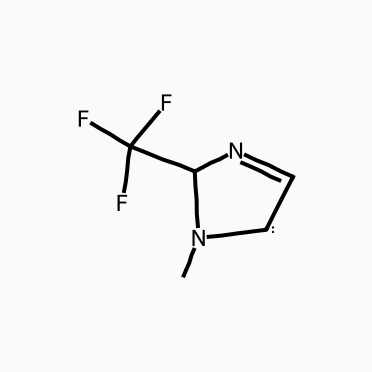 CN1[C]C=NC1C(F)(F)F